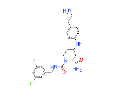 NC=O.NCCc1ccc(NC2CCN(C(=O)NCc3cc(F)cc(F)c3)CC2)cc1